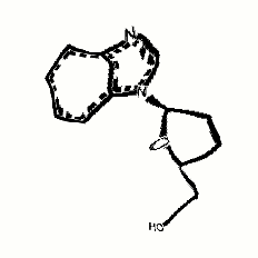 OC[C@@H]1CC[C@H](n2cnc3ccccc32)O1